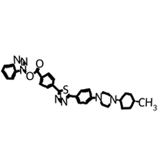 C[C@H]1CC[C@@H](N2CCN(c3ccc(-c4nnc(-c5ccc(C(=O)On6nnc7ccccc76)cc5)s4)cc3)CC2)CC1